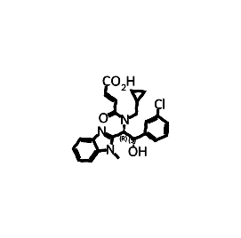 Cn1c([C@H]([C@@H](O)c2cccc(Cl)c2)N(CC2CC2)C(=O)C=CC(=O)O)nc2ccccc21